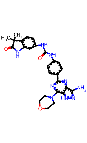 CC1(C)C(=O)Nc2cc(NC(=O)Nc3ccc(-c4nc(N5CCOCC5)c5[nH]nc(N)c5n4)cc3)ccc21